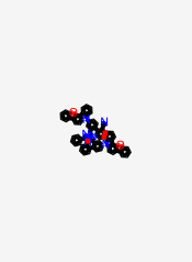 N#Cc1ccccc1-c1ccc(-n2c3ccccc3c3c4oc5ccccc5c4ccc32)cc1-c1nc(-c2ccccc2)nc(-c2cc(-n3c4ccccc4c4c5oc6ccccc6c5ccc43)ccc2-c2ccccc2C#N)n1